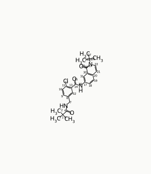 CC(C)(C)C(=O)NCc1ccc(Cl)c(C(=O)Nc2ccc3ccn(C(C)(C)C)c(=O)c3c2)c1